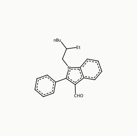 CCCCC(CC)Cn1c(-c2ccccc2)c(C=O)c2ccccc21